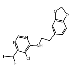 FC(F)c1ncnc(NCCc2ccc3c(c2)OCO3)c1Cl